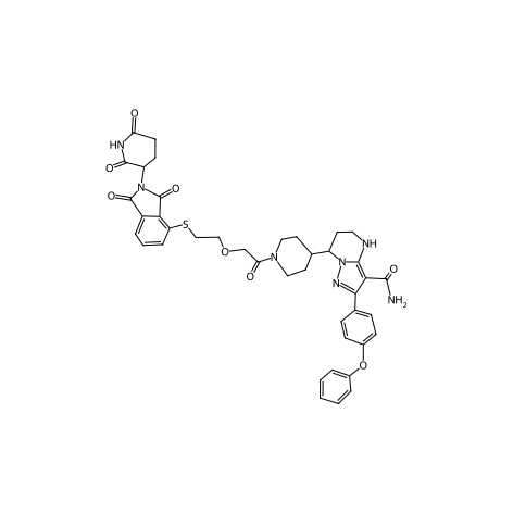 NC(=O)c1c(-c2ccc(Oc3ccccc3)cc2)nn2c1NCCC2C1CCN(C(=O)COCCSc2cccc3c2C(=O)N(C2CCC(=O)NC2=O)C3=O)CC1